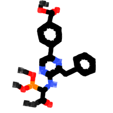 CCOP(OCC)C(Nc1ncc(-c2ccc(C(=O)OC(C)(C)C)cc2)nc1Cc1ccccc1)C(=O)OC